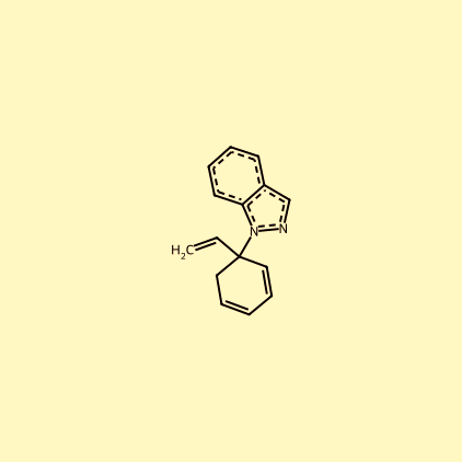 C=CC1(n2ncc3ccccc32)C=CC=CC1